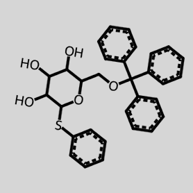 OC1C(COC(c2ccccc2)(c2ccccc2)c2ccccc2)OC(Sc2ccccc2)C(O)C1O